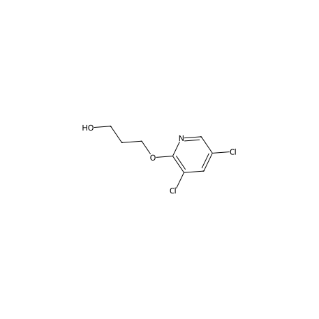 OCCCOc1ncc(Cl)cc1Cl